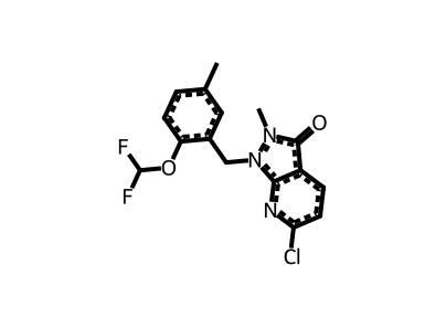 Cc1ccc(OC(F)F)c(Cn2c3nc(Cl)ccc3c(=O)n2C)c1